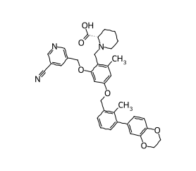 Cc1cc(OCc2cccc(-c3ccc4c(c3)OCCO4)c2C)cc(OCc2cncc(C#N)c2)c1CN1CCCC[C@H]1C(=O)O